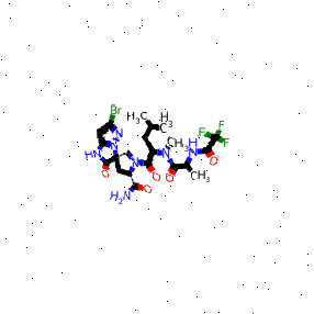 CC(C)CC(C(=O)N1C[C@]2(C[C@H]1C(N)=O)C(=O)Nc1cc(Br)nn12)N(C)C(=O)C(C)NC(=O)C(F)(F)F